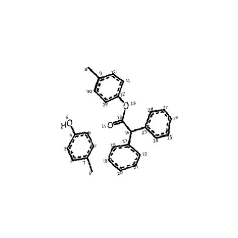 Cc1ccc(O)cc1.Cc1ccc(OC(=O)C(c2ccccc2)c2ccccc2)cc1